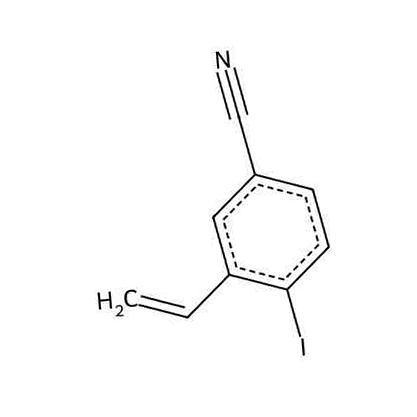 C=Cc1cc(C#N)ccc1I